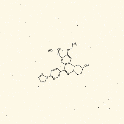 CCOc1cc2c(cc1OC)C(c1ccc(-n3cccn3)nc1)=NC1CCC(O)CC21.Cl